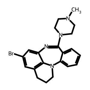 CN1CCN(C2=Nc3cc(Br)cc4c3N(CCC4)c3ccccc32)CC1